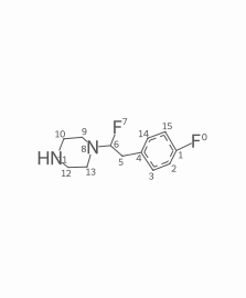 Fc1ccc(CC(F)N2CCNCC2)cc1